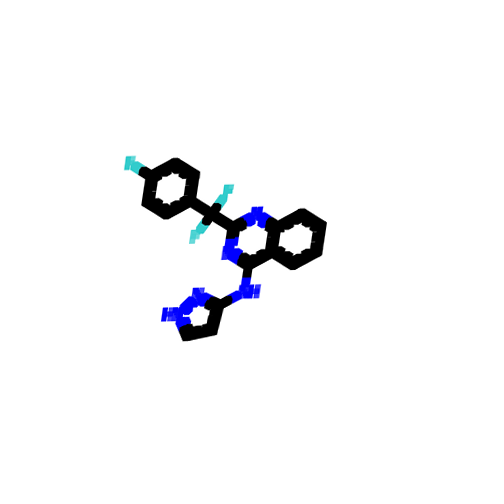 Fc1ccc(C(F)(F)c2nc(Nc3cc[nH]n3)c3ccccc3n2)cc1